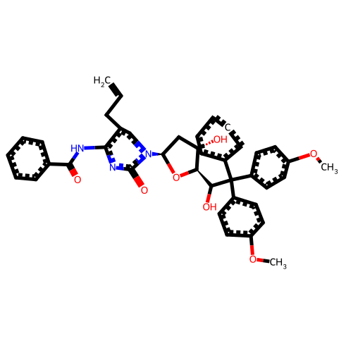 C=CCc1cn([C@H]2C[C@H](O)[C@@H](C(O)C(c3ccccc3)(c3ccc(OC)cc3)c3ccc(OC)cc3)O2)c(=O)nc1NC(=O)c1ccccc1